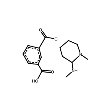 CNC1CCCCN1C.O=C(O)c1cccc(C(=O)O)c1